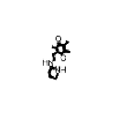 CC1=C(C)C(=O)C(CCNC2CCCCN2)=C(C)C1=O